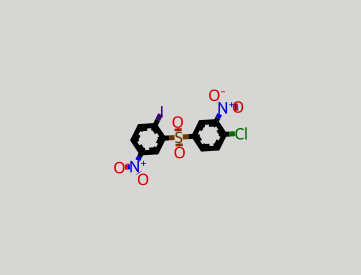 O=[N+]([O-])c1ccc(I)c(S(=O)(=O)c2ccc(Cl)c([N+](=O)[O-])c2)c1